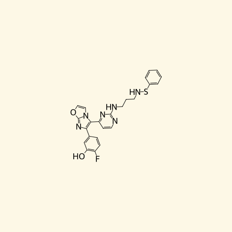 Oc1cc(-c2nc3occn3c2-c2ccnc(NCCCNSc3ccccc3)n2)ccc1F